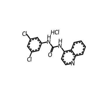 Cl.O=C(Nc1cc(Cl)cc(Cl)c1)Nc1ccnc2ccccc12